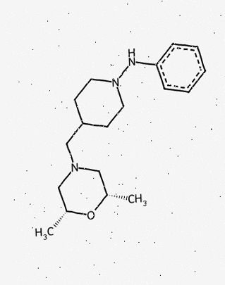 C[C@@H]1CN(CC2CCN(Nc3ccccc3)CC2)C[C@H](C)O1